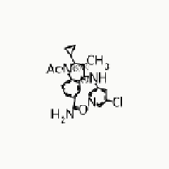 CC(=O)N1c2ccc(C(N)=O)cc2[C@H](Nc2cncc(Cl)c2)[C@@H](C)[C@@H]1C1CC1